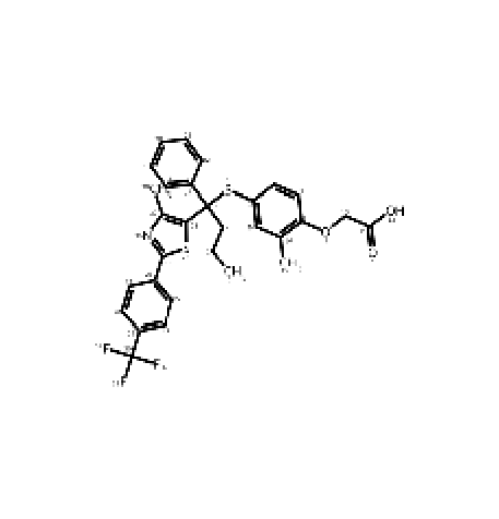 CCCC(Sc1ccc(OCC(=O)O)c(C)c1)(c1ccccc1)c1sc(-c2ccc(C(F)(F)F)cc2)nc1C